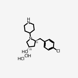 Cl.Cl.O[C@H]1C[C@H](Cc2ccc(Cl)cc2)N(C2CCNCC2)C1